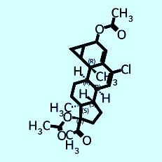 CC(=O)OC1C=C2C(Cl)=C[C@@H]3[C@@H](CC[C@@]4(C)[C@H]3CC[C@]4(OC(C)=O)C(C)=O)[C@]2(C)C2CC12